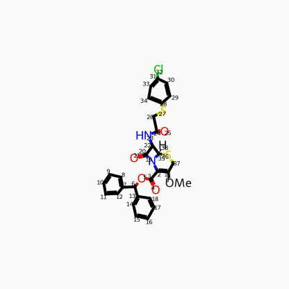 COC1=C(C(=O)OC(c2ccccc2)c2ccccc2)N2C(=O)C(NC(=O)CSc3ccc(Cl)cc3)[C@H]2SC1